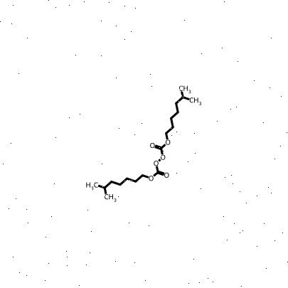 CC(C)CCCCCOC(=O)OOC(=O)OCCCCCC(C)C